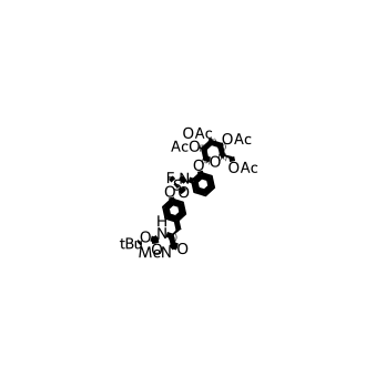 CNC(=O)[C@H](Cc1ccc(OS(=O)(F)=Nc2ccccc2O[C@@H]2O[C@H](COC(C)=O)[C@@H](OC(C)=O)[C@H](OC(C)=O)[C@H]2OC(C)=O)cc1)NC(=O)OC(C)(C)C